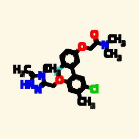 C=C1NN=C(COc2cc(C)c(Cl)cc2-c2cc(OCC(=O)N(C)C)ccc2F)N1C